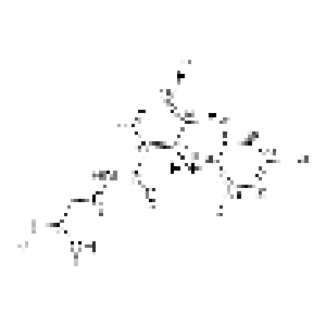 CCC(O)CONC(=O)c1ccc(F)c(F)c1Nc1ccc(I)cc1C